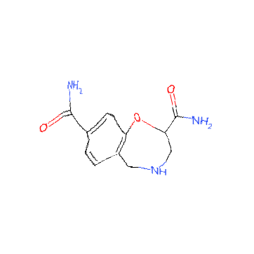 NC(=O)c1ccc2c(c1)OC(C(N)=O)CNC2